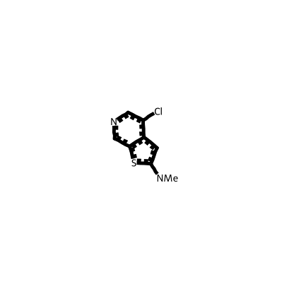 CNc1cc2c(Cl)cncc2s1